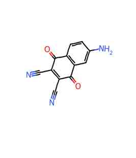 N#CC1=C(C#N)C(=O)c2cc(N)ccc2C1=O